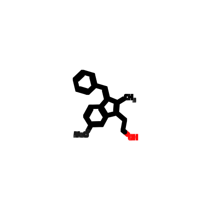 COc1ccc2c(c1)C(CCO)=C(C)/C2=C/c1ccccc1